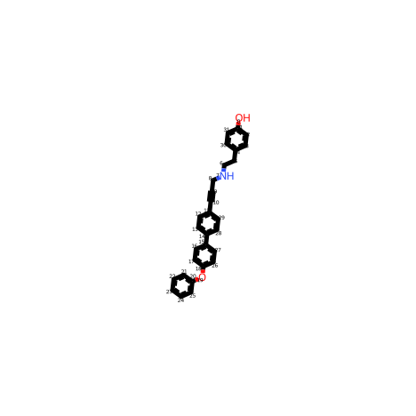 Oc1ccc(CCNCC#Cc2ccc(-c3ccc(Oc4ccccc4)cc3)cc2)cc1